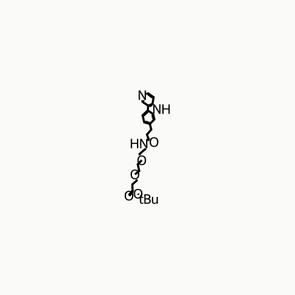 CC(C)(C)OC(=O)CCOCCOCCNC(=O)CCc1ccc2c(c1)[nH]c1ccncc12